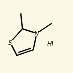 CC1SC=CN1C.I